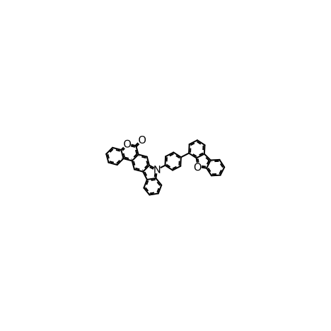 O=c1oc2ccccc2c2cc3c4ccccc4n(-c4ccc(-c5cccc6c5oc5ccccc56)cc4)c3cc12